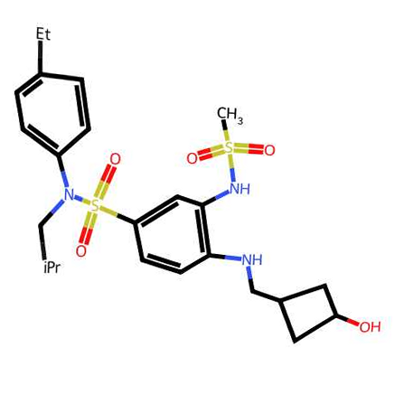 CCc1ccc(N(CC(C)C)S(=O)(=O)c2ccc(NCC3CC(O)C3)c(NS(C)(=O)=O)c2)cc1